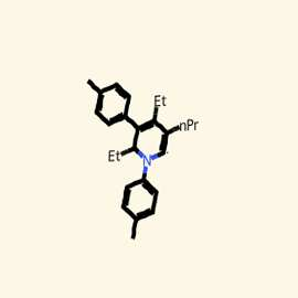 CCCC1=[C]N(c2ccc(C)cc2)C(CC)C(c2ccc(C)cc2)=C1CC